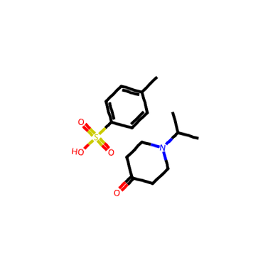 CC(C)N1CCC(=O)CC1.Cc1ccc(S(=O)(=O)O)cc1